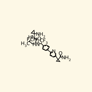 CC(C)(F)C[C@H](N[C@@H](c1ccc(-c2ccc(C3(C(N)=O)CC3)cn2)cc1)C(F)(F)F)C(=O)NC1(N)CC1